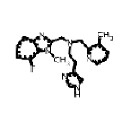 Cc1cccnc1CN(CCc1c[nH]cn1)Cc1nc2cccc(F)c2n1C